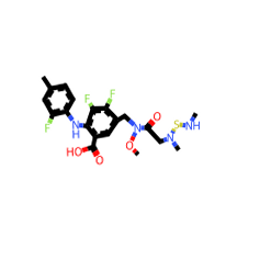 CNSN(C)CC(=O)N(Cc1cc(C(=O)O)c(Nc2ccc(C)cc2F)c(F)c1F)OC